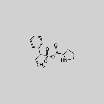 C=CC(c1ccccc1)S(=O)(=O)OC(=O)[C@H]1CCCN1